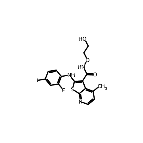 Cc1ccnc2sc(Nc3ccc(I)cc3F)c(C(=O)NOCCO)c12